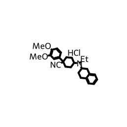 CCN(C1CCC(C#N)(c2ccc(OC)c(OC)c2)CC1)C1CCc2ccccc2C1.Cl